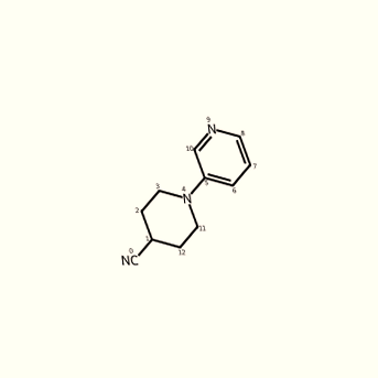 N#CC1CCN(c2cccnc2)CC1